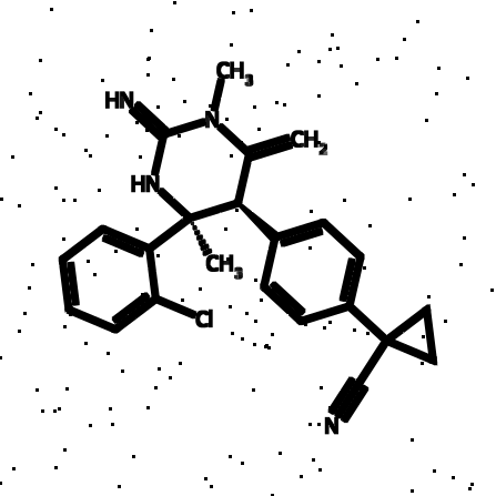 C=C1[C@@H](c2ccc(C3(C#N)CC3)cc2)[C@@](C)(c2ccccc2Cl)NC(=N)N1C